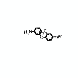 CCCc1ccc(Oc2cccc(N)c2)c(C)c1